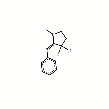 CCC1(CC)CCN(C)C1=Nc1c[c]ccc1